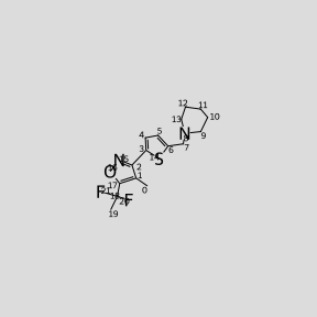 Cc1c(-c2ccc(CN3CCCCC3)s2)noc1C(C)(F)F